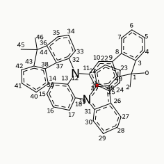 CC1(C)c2ccccc2-c2cc(N(c3ccccc3-n3c4ccccc4c4ccccc43)c3cccc4c3-c3ccccc3C4(C)C)ccc21